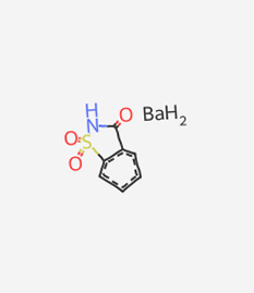 O=C1NS(=O)(=O)c2ccccc21.[BaH2]